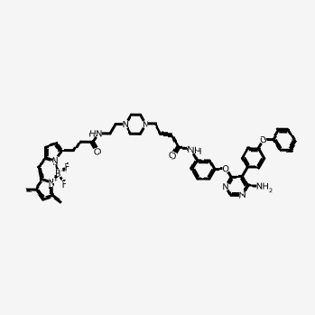 CC1=CC(C)=[N+]2C1=Cc1ccc(CCC(=O)NCCN3CCN(CC=CC(=O)Nc4cccc(Oc5ncnc(N)c5-c5ccc(Oc6ccccc6)cc5)c4)CC3)n1[B-]2(F)F